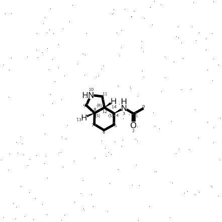 CC(=O)N[C@H]1CCC[C@@H]2CNC[C@@H]21